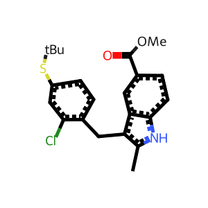 COC(=O)c1ccc2[nH]c(C)c(Cc3ccc(SC(C)(C)C)cc3Cl)c2c1